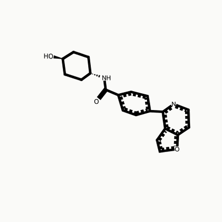 O=C(N[C@H]1CC[C@H](O)CC1)c1ccc(-c2nccc3occc23)cc1